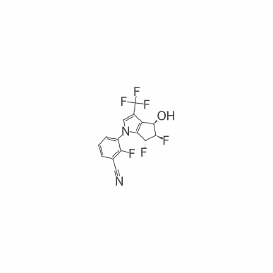 N#Cc1cccc(-n2cc(C(F)(F)F)c3c2[C@@H](F)[C@H](F)[C@@H]3O)c1F